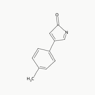 Cc1ccc(C2=CC(=O)N=C2)cc1